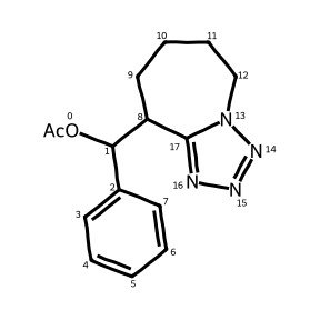 CC(=O)OC(c1ccccc1)C1CCCCn2nnnc21